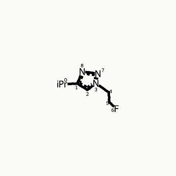 CC(C)c1cn(CCF)nn1